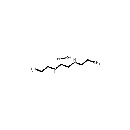 CCO.NCCNCCNCCN